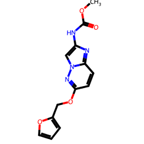 COC(=O)Nc1cn2nc(OCc3ccco3)ccc2n1